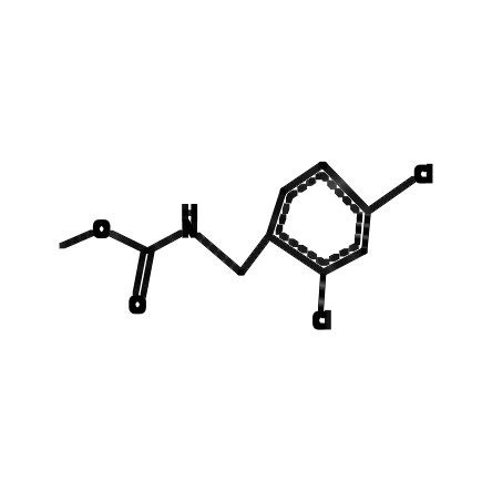 COC(=O)NCc1ccc(Cl)cc1Cl